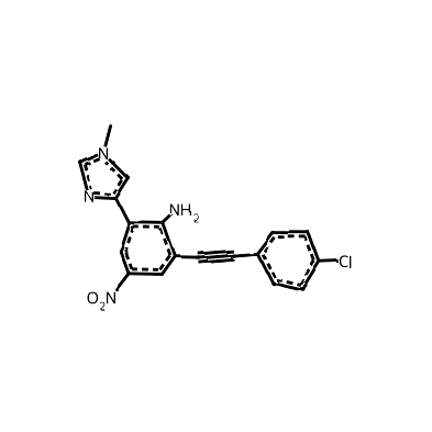 Cn1cnc(-c2cc([N+](=O)[O-])cc(C#Cc3ccc(Cl)cc3)c2N)c1